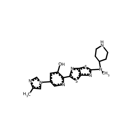 Cc1cn(-c2cnc(-c3nc4sc(N(C)C5CCNCC5)nc4s3)c(O)c2)cn1